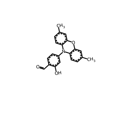 Cc1ccc2c(c1)Oc1cc(C)ccc1N2c1ccc(C=O)c(O)c1